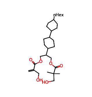 C=C(CO)C(=O)OCC(COC(=O)C(C)(C)CO)C1CCC(C2CCC(CCCCCC)CC2)CC1